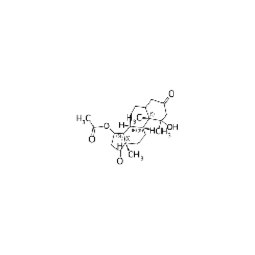 CC(=O)OC1CC(=O)[C@@]2(C)CC[C@@H]3[C@@H](CCC4CC(=O)CC(C)(O)[C@@]43C)[C@H]12